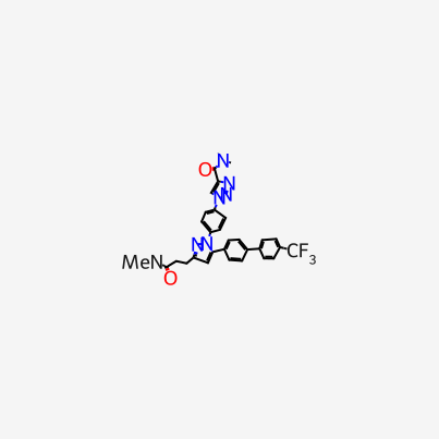 CNC(=O)CCc1cc(-c2ccc(-c3ccc(C(F)(F)F)cc3)cc2)n(-c2ccc(-n3cc(C(=O)N(C)C)nn3)cc2)n1